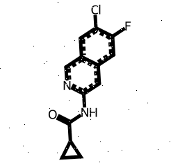 O=C(Nc1cc2cc(F)c(Cl)cc2cn1)C1CC1